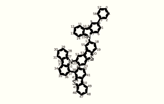 c1ccc(-c2ccc3c(c2)c2ccccc2n3-c2ccc3sc4ccc(-n5c6ccccc6c6cccc(-c7cccc8c7sc7ccccc78)c65)cc4c3c2)cc1